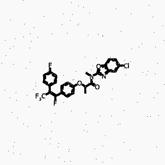 CC(Oc1ccc(C(F)=C(c2ccc(F)cc2)C(F)(F)F)cc1)C(=O)N(C)c1nc2cc(Cl)ccc2o1